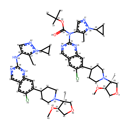 CO[C@@H]1COC[C@]1(C)N1CCC(c2cc3nc(N(C(=O)OC(C)(C)C)c4cnn(C5CC5)c4C)ncc3cc2Cl)CC1.CO[C@@H]1COC[C@]1(C)N1CCC(c2cc3nc(Nc4cnn(C5CC5)c4C)ncc3cc2Cl)CC1